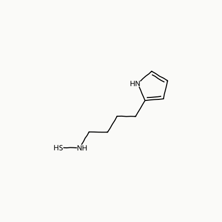 SNCCCCc1ccc[nH]1